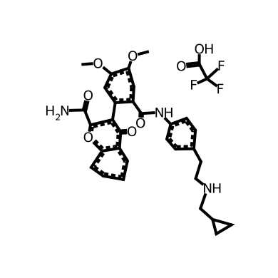 COc1cc(C(=O)Nc2ccc(CCNCC3CC3)cc2)c(-c2c(C(N)=O)oc3ccccc3c2=O)cc1OC.O=C(O)C(F)(F)F